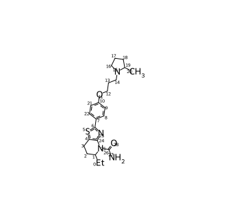 CCC1CCc2sc(-c3ccc(OCCCN4CCCC4C)cc3)nc2N1C(N)=O